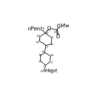 CCCCCCCC1CCC(C2CCC(CCCCC)(OC(=O)OC)CC2)CC1